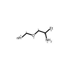 CCCCOCC(N)CC